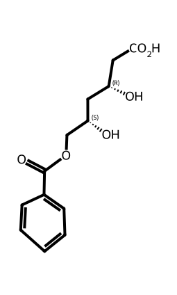 O=C(O)C[C@H](O)C[C@H](O)COC(=O)c1ccccc1